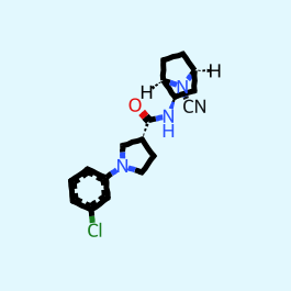 N#CN1[C@H]2CC[C@@H]1[C@H](NC(=O)[C@@H]1CCN(c3cccc(Cl)c3)C1)C2